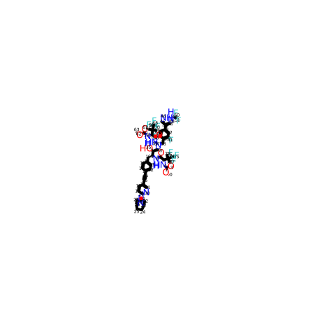 COC(=O)NC(C(=O)N[C@@H](Cc1ccc(C#Cc2ccc(N3CC4CCC(C3)N4C)nc2)cc1)[C@@H](O)CN(Cc1c(F)cc(/C(C=N)=C/NC(F)F)cc1F)NC(=O)[C@@H](NC(=O)OC)C(C)(C)C(F)(F)F)C(C)(C)C(F)(F)F